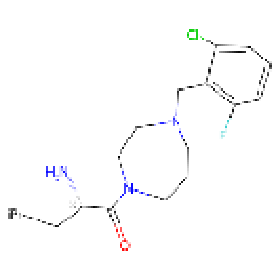 CC(C)C[C@H](N)C(=O)N1CCCN(Cc2c(F)cccc2Cl)CC1